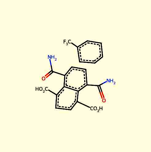 FC(F)(F)c1ccccc1.NC(=O)c1ccc(C(N)=O)c2c(C(=O)O)ccc(C(=O)O)c12